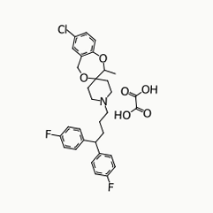 CC1Oc2ccc(Cl)cc2COC12CCN(CCCC(c1ccc(F)cc1)c1ccc(F)cc1)CC2.O=C(O)C(=O)O